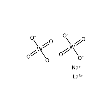 [La+3].[Na+].[O]=[W](=[O])([O-])[O-].[O]=[W](=[O])([O-])[O-]